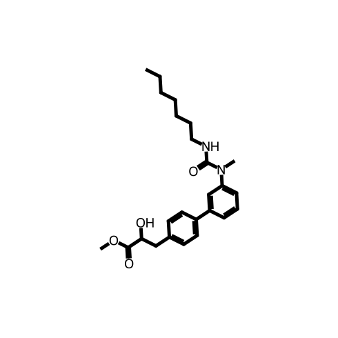 CCCCCCCNC(=O)N(C)c1cccc(-c2ccc(CC(O)C(=O)OC)cc2)c1